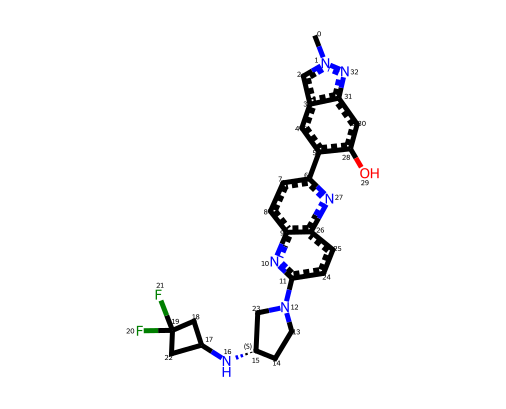 Cn1cc2cc(-c3ccc4nc(N5CC[C@H](NC6CC(F)(F)C6)C5)ccc4n3)c(O)cc2n1